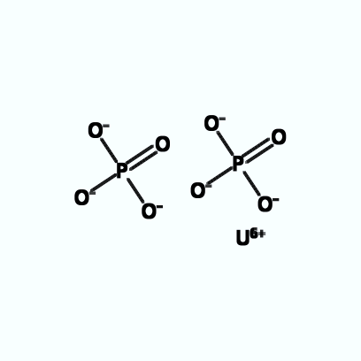 O=P([O-])([O-])[O-].O=P([O-])([O-])[O-].[U+6]